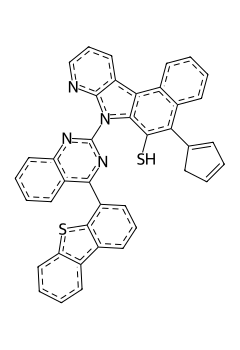 Sc1c(C2=CC=CC2)c2ccccc2c2c3cccnc3n(-c3nc(-c4cccc5c4sc4ccccc45)c4ccccc4n3)c12